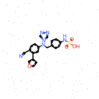 N#Cc1ccc(N(Cc2ccc(NS(=O)(=O)O)cc2)n2cnnc2)cc1-c1ccoc1